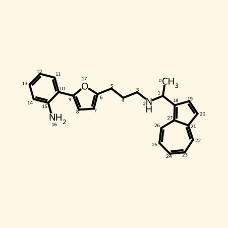 CC(NCCCc1ccc(-c2ccccc2N)o1)c1ccc2cccccc1-2